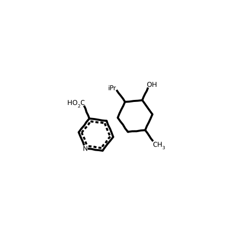 CC1CCC(C(C)C)C(O)C1.O=C(O)c1cccnc1